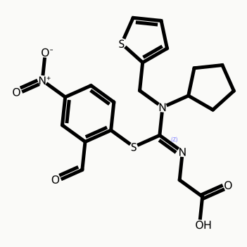 O=Cc1cc([N+](=O)[O-])ccc1S/C(=N\CC(=O)O)N(Cc1cccs1)C1CCCC1